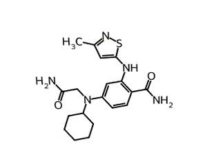 Cc1cc(Nc2cc(N(CC(N)=O)C3CCCCC3)ccc2C(N)=O)sn1